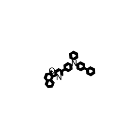 c1ccc(-c2ccc(N(c3ccccc3)c3ccc(-c4cnc5c(c4)oc4ccc6ccccc6c45)cc3)cc2)cc1